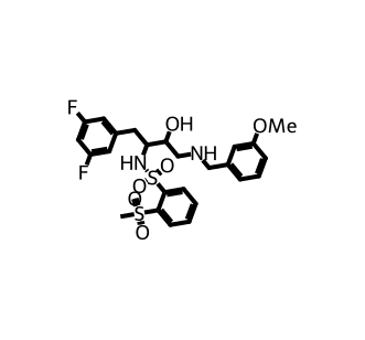 COc1cccc(CNCC(O)C(Cc2cc(F)cc(F)c2)NS(=O)(=O)c2ccccc2S(C)(=O)=O)c1